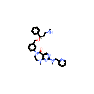 CNCC[C@@H](OCc1cccc(N2CCN(C)c3nc(N(C)Cc4ccccn4)ncc3C2=O)c1)c1ccccc1